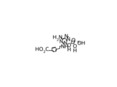 Nc1nc(NCCc2ccc(CC(=O)O)cc2)nc2c1ncn2[C@@H]1O[C@H](CO)C(O)C1O